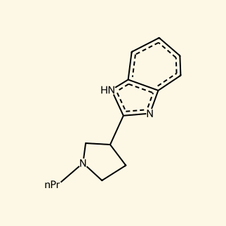 CCCN1CCC(c2nc3ccccc3[nH]2)C1